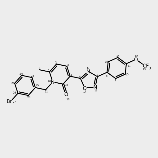 Cc1ccc(-c2nc(-c3ccc(OC(F)(F)F)cc3)no2)c(=O)n1Cc1cccc(Br)c1